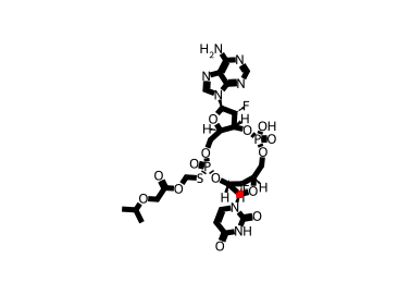 CC(C)OCC(=O)OCSP1(=O)OC[C@H]2O[C@@H](n3cnc4c(N)ncnc43)[C@H](F)[C@@H]2OP(=O)(O)OC[C@H]2O[C@@H](n3ccc(=O)[nH]c3=O)[C@H](O1)[C@@H]2F